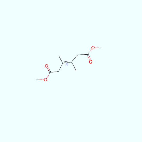 COC(=O)C/C(C)=C(\C)CC(=O)OC